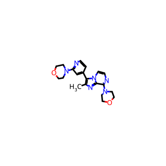 Cc1nc2c(N3CCOCC3)nccn2c1-c1ccnc(N2CCOCC2)c1